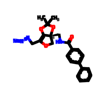 CC1(C)OC2=C(CN=[N+]=[N-])OC[C@]2(CNC(=O)c2ccc(-c3ccccc3)cc2)O1